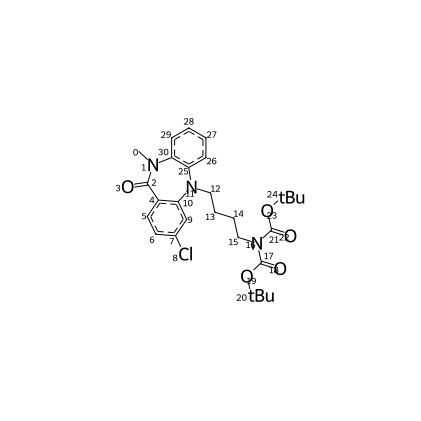 CN1C(=O)c2ccc(Cl)cc2N(CCCCN(C(=O)OC(C)(C)C)C(=O)OC(C)(C)C)c2ccccc21